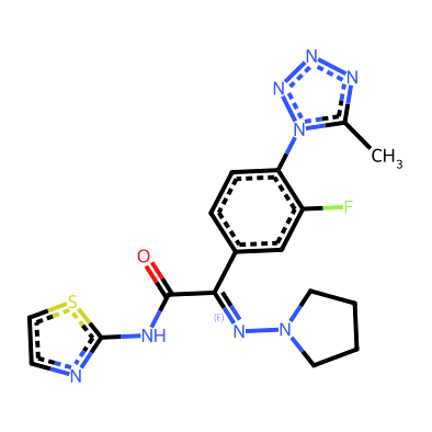 Cc1nnnn1-c1ccc(/C(=N\N2CCCC2)C(=O)Nc2nccs2)cc1F